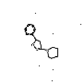 c1ccc(C2CC(N3CCCCC3)=NO2)cc1